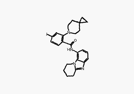 O=C(Nc1cccc2nc3n(c12)CCCC3)c1ccc(I)cc1N1CCC2(CC1)CC2